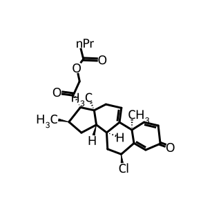 CCCC(=O)OCC(=O)[C@H]1[C@H](C)C[C@H]2[C@@H]3C[C@H](Cl)C4=CC(=O)C=C[C@]4(C)C3=CC[C@@]21C